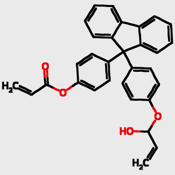 C=CC(=O)Oc1ccc(C2(c3ccc(OC(O)C=C)cc3)c3ccccc3-c3ccccc32)cc1